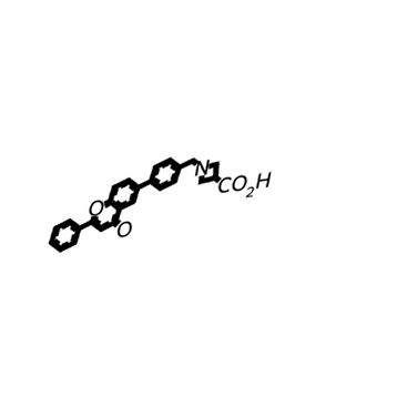 O=C(O)C1CN(Cc2ccc(-c3ccc4oc(-c5ccccc5)cc(=O)c4c3)cc2)C1